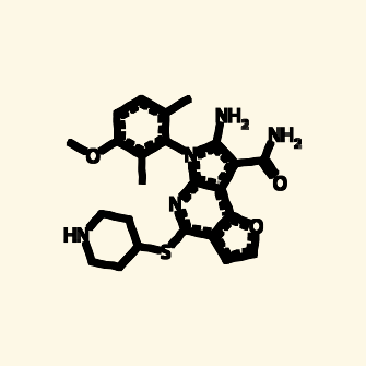 COc1ccc(C)c(-n2c(N)c(C(N)=O)c3c4occc4c(SC4CCNCC4)nc32)c1C